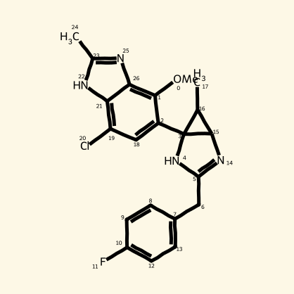 COc1c(C23NC(Cc4ccc(F)cc4)=NC2C3C)cc(Cl)c2[nH]c(C)nc12